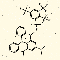 CC(C)c1cc(C(C)C)c([S+](c2ccccc2)c2ccccc2)c(C(C)C)c1.O=S(=O)([O-])c1c(C(F)(F)F)cc(C(F)(F)F)cc1C(F)(F)F